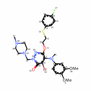 COc1ccc(N(C)c2c(OCCSc3ccc(F)cc3)nn(CN3CCN(C)CC3)c(=O)c2Br)cc1OC